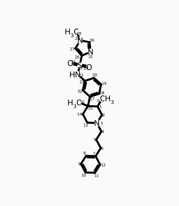 CC1CN(CCCc2ccccc2)CCC1(C)c1cccc(NS(=O)(=O)c2cn(C)cn2)c1